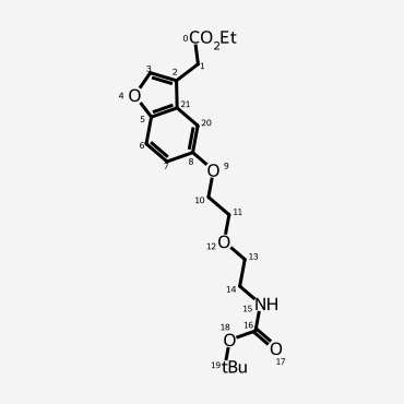 CCOC(=O)Cc1coc2ccc(OCCOCCNC(=O)OC(C)(C)C)cc12